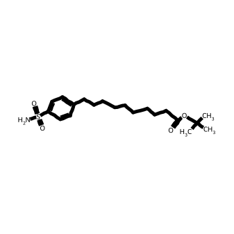 CC(C)(C)OC(=O)CCCCCCCCCc1ccc(S(N)(=O)=O)cc1